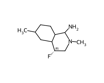 CC1CCC2C(C1)[C@@H](F)CN(C)C2N